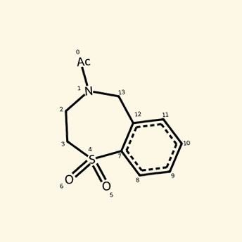 CC(=O)N1CCS(=O)(=O)c2ccccc2C1